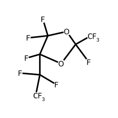 FC(F)(F)C1(F)OC(F)(F)C(F)(C(F)(F)C(F)(F)F)O1